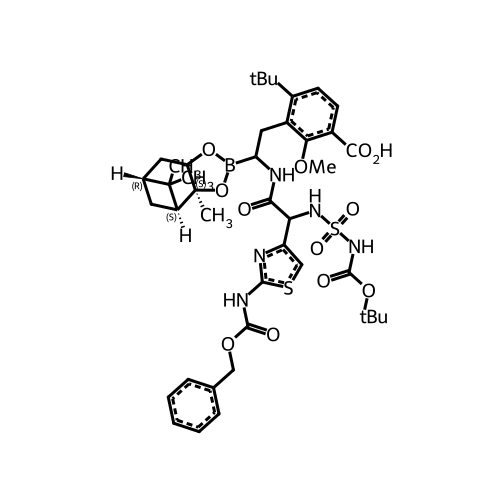 COc1c(C(=O)O)ccc(C(C)(C)C)c1CC(NC(=O)C(NS(=O)(=O)NC(=O)OC(C)(C)C)c1csc(NC(=O)OCc2ccccc2)n1)B1OC2C[C@H]3C[C@@H](C3(C)C)[C@]2(C)O1